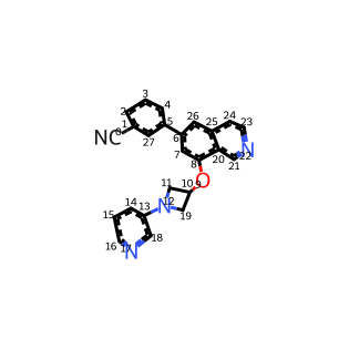 N#Cc1cccc(-c2cc(OC3CN(c4cccnc4)C3)c3cnccc3c2)c1